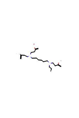 C=C(CCC)CCN(CCCCCCN(CCC(=C)OCC)CCC(=O)OCC)CCC(=C)OCC